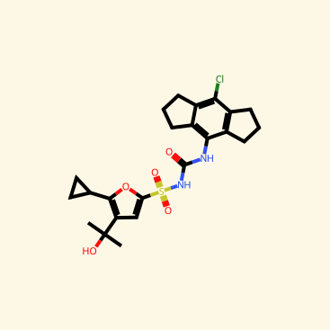 CC(C)(O)c1cc(S(=O)(=O)NC(=O)Nc2c3c(c(Cl)c4c2CCC4)CCC3)oc1C1CC1